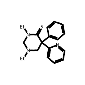 CCN1CN(CC)C(=S)C(c2ccccc2)(c2ccccn2)C1